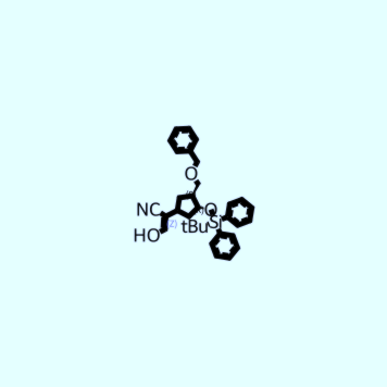 CC(C)(C)[Si](O[C@@H]1CC(/C(C#N)=C/O)C[C@H]1COCc1ccccc1)(c1ccccc1)c1ccccc1